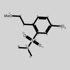 COCCc1ccc([N+](=O)[O-])cc1S(=O)(=O)N(C)C